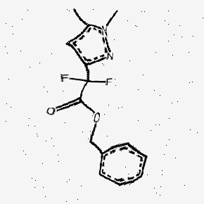 Cc1cc(C(F)(F)C(=O)OCc2ccccc2)nn1C